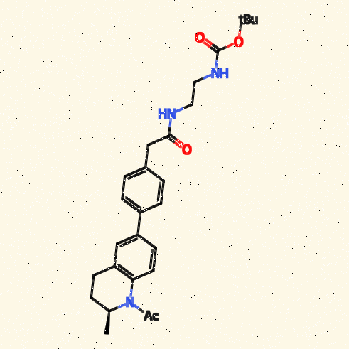 CC(=O)N1c2ccc(-c3ccc(CC(=O)NCCNC(=O)OC(C)(C)C)cc3)cc2CC[C@@H]1C